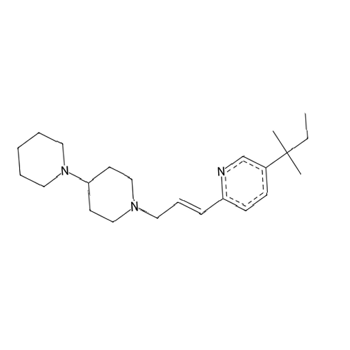 CCC(C)(C)c1ccc(/C=C/CN2CCC(N3CCCCC3)CC2)nc1